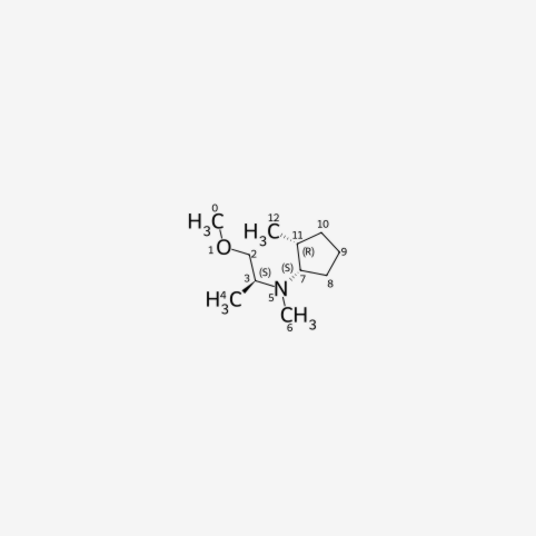 COC[C@H](C)N(C)[C@H]1CCC[C@H]1C